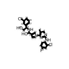 Cc1cnc(Nc2ccc(F)cc2Cl)nc1-n1ccc(C(O)NC(CO)c2cccc(Cl)c2)c1